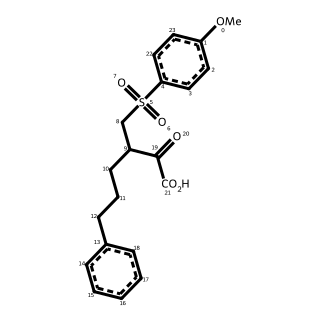 COc1ccc(S(=O)(=O)CC(CCCc2ccccc2)C(=O)C(=O)O)cc1